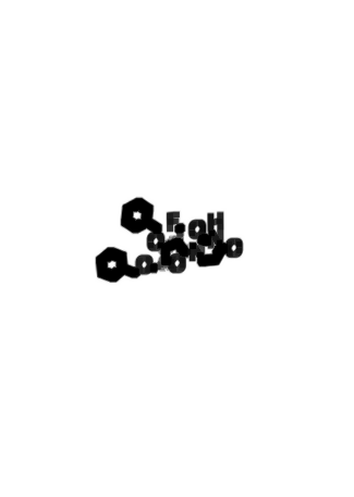 O=c1ccn([C@@H]2O[C@H](COCc3ccccc3)[C@@H](OCc3ccccc3)[C@@H]2CF)c(=O)[nH]1